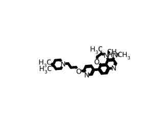 CNc1cnc2ccc(-c3ccc(OCCCN4CCC(C)(C)CC4)nc3)c3c2c1N(C)[C@@H](C)CO3